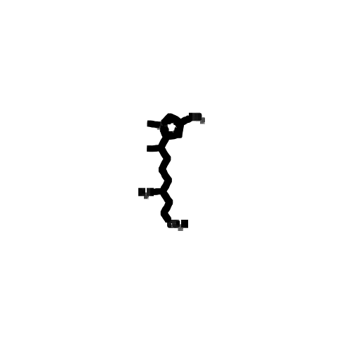 CC(CCCC(N)CCC(=O)O)c1cc([N+](=O)[O-])cn1C